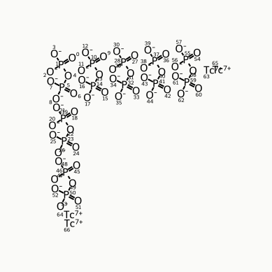 O=P([O-])([O-])OP(=O)([O-])[O-].O=P([O-])([O-])OP(=O)([O-])[O-].O=P([O-])([O-])OP(=O)([O-])[O-].O=P([O-])([O-])OP(=O)([O-])[O-].O=P([O-])([O-])OP(=O)([O-])[O-].O=P([O-])([O-])OP(=O)([O-])[O-].O=P([O-])([O-])OP(=O)([O-])[O-].[Tc+7].[Tc+7].[Tc+7].[Tc+7]